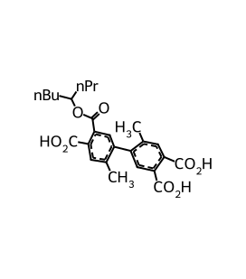 CCCCC(CCC)OC(=O)c1cc(-c2cc(C(=O)O)c(C(=O)O)cc2C)c(C)cc1C(=O)O